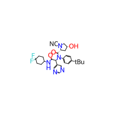 CC(C)(C)c1ccc(N(C(=O)[C@H]2C[C@@H](O)CN2C#N)C(C(=O)NC2CCC(F)(F)CC2)c2cncnc2)cc1